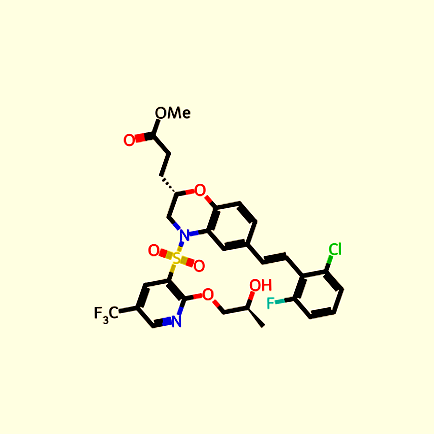 COC(=O)CC[C@H]1CN(S(=O)(=O)c2cc(C(F)(F)F)cnc2OC[C@H](C)O)c2cc(/C=C/c3c(F)cccc3Cl)ccc2O1